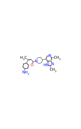 CC(=CC(=O)N1CCC(c2cnc(C)c3nc(C)[nH]c23)CC1)c1ccc(N)cc1